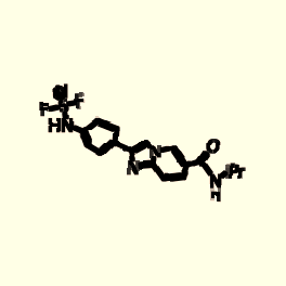 CC(C)NC(=O)c1ccc2nc(-c3ccc(N[SH](=O)(F)F)cc3)cn2c1